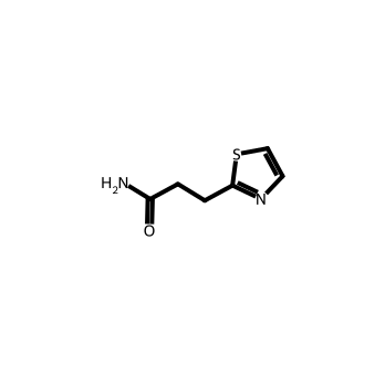 NC(=O)CCc1nccs1